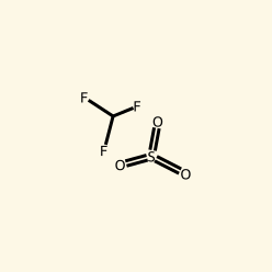 FC(F)F.O=S(=O)=O